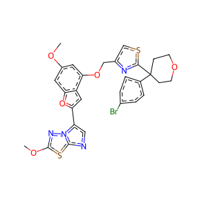 COc1cc(OCc2csc(C3(c4ccc(Br)cc4)CCOCC3)n2)c2cc(-c3cnc4sc(OC)nn34)oc2c1